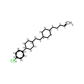 C=CCCCC1CCC(CCC2CCC(c3ccc(Cl)cc3)CC2)CC1